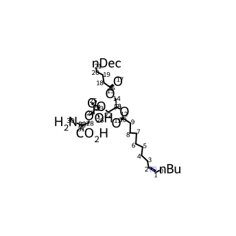 CCCC/C=C\CCCCCCCC(=O)O[C@H](COC(=O)CCCCCCCCCCCCC)COP(=O)(O)OC[C@H](N)C(=O)O